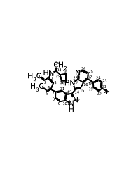 C=C/C(=C\C(=C/C)c1ccc2[nH]nc(-c3cc4c(-c5ccc(F)cc5)ccnc4[nH]3)c2c1)NC(=C)C1CCC1